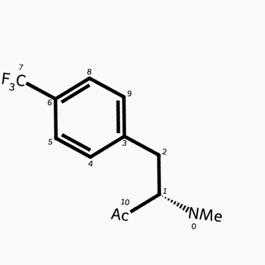 CN[C@@H](Cc1ccc(C(F)(F)F)cc1)C(C)=O